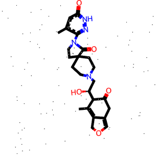 CC1=C2COC=C2CC(=O)C1[C@@H](O)CN1CCC2(CC1)CCN(c1n[nH]c(=O)cc1C)C2=O